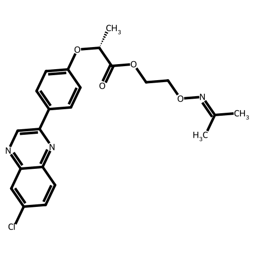 CC(C)=NOCCOC(=O)[C@@H](C)Oc1ccc(-c2cnc3cc(Cl)ccc3n2)cc1